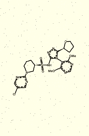 COc1ncnc(OC)c1-n1c(NS(=O)(=O)[C@@H]2CCCN(c3ncc(Cl)cn3)C2)nnc1[C@@H]1CCCO1